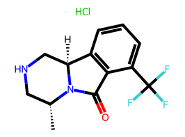 C[C@@H]1CNC[C@H]2c3cccc(C(F)(F)F)c3C(=O)N12.Cl